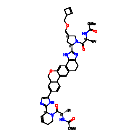 COC(=O)N[C@H](C(=O)N1CCC#C[C@H]1c1ncc(-c2ccc3c(c2)COc2cc4c(cc2-3)CCc2nc([C@@H]3C[C@@H](COCC5C=CC5)CN3C(=O)[C@@H](NC(=O)OC)C(C)C)[nH]c2-4)[nH]1)C(C)C